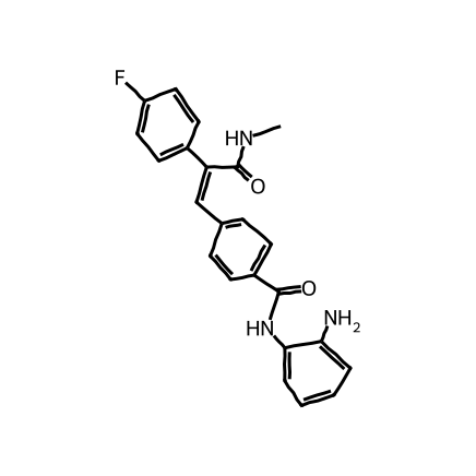 CNC(=O)C(=Cc1ccc(C(=O)Nc2ccccc2N)cc1)c1ccc(F)cc1